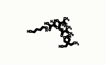 C=C(C)C(=O)O.C=C(C)C(=O)O.C=C(C)C(=O)O.CCC(CO)(CO)CO.OCCCCO